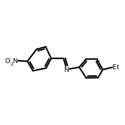 CCc1ccc(N=Cc2ccc([N+](=O)[O-])cc2)cc1